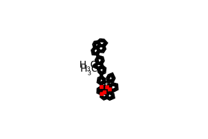 CC1(C)c2cc(-c3ccc(-c4ccc5ccc6cccc7ccc4c5c67)c([Si](c4ccccc4)(c4ccccc4)c4ccccc4)c3)ccc2-c2ccc(-c3ccc4ccc5cccc6ccc3c4c56)cc21